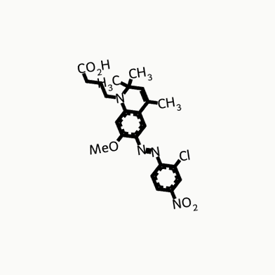 COc1cc2c(cc1N=Nc1ccc([N+](=O)[O-])cc1Cl)C(C)=CC(C)(C)N2CCCC(=O)O